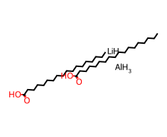 CCCCCCCCCCCCCCCCCC(=O)O.CCCCCCCCCCCCCCCCCC(=O)O.[AlH3].[LiH]